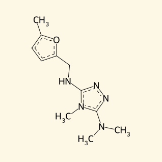 Cc1ccc(CNc2nnc(N(C)C)n2C)o1